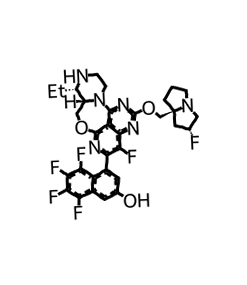 CC[C@@H]1NCCN2c3nc(OC[C@@]45CCCN4C[C@H](F)C5)nc4c(F)c(-c5cc(O)cc6c(F)c(F)c(F)c(F)c56)nc(c34)OC[C@H]12